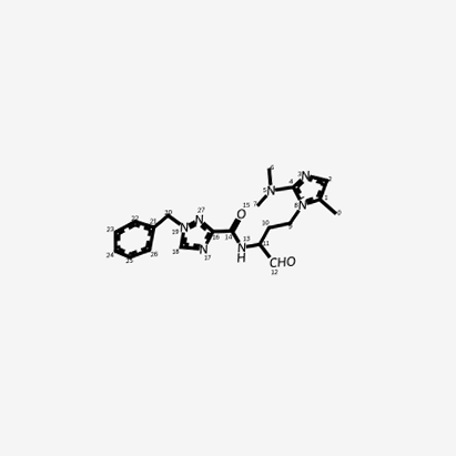 Cc1cnc(N(C)C)n1CCC(C=O)NC(=O)c1ncn(Cc2ccccc2)n1